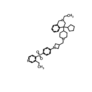 CCc1cnccc1S(=O)(=O)c1ccc(N2CC(CN3CCC(C4(C5CCCC5)CN(CC)Cc5ccccc54)CC3)C2)cc1